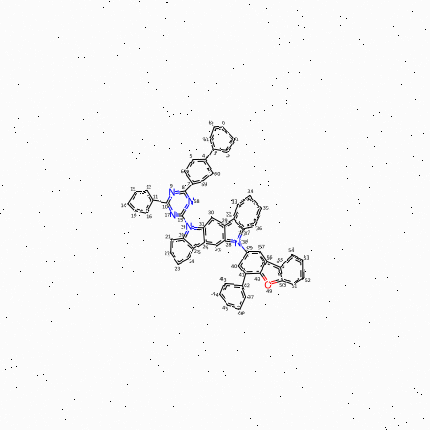 c1ccc(-c2ccc(-c3nc(-c4ccccc4)nc(-n4c5ccccc5c5cc6c(cc54)c4ccccc4n6-c4cc(-c5ccccc5)c5oc6ccccc6c5c4)n3)cc2)cc1